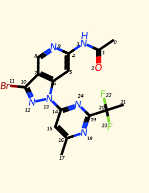 CC(=O)Nc1cc2c(cn1)c(Br)nn2-c1cc(C)nc(C(C)(F)F)n1